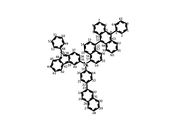 c1ccc(-c2c3ccccc3c(-c3cccc4c(N(c5ccc(-c6ccc7ccccc7c6)cc5)c5ccc6c(c5)c5ccccc5n6-c5ccccc5)cccc34)c3ccccc23)cc1